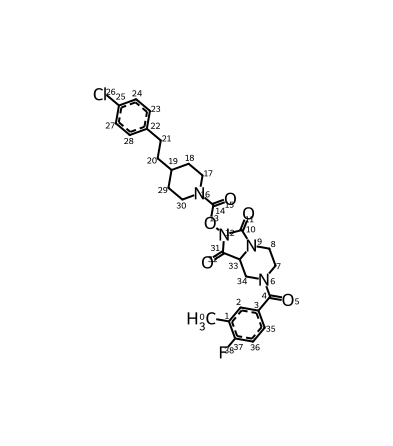 Cc1cc(C(=O)N2CCN3C(=O)N(OC(=O)N4CCC(CCc5ccc(Cl)cc5)CC4)C(=O)C3C2)ccc1F